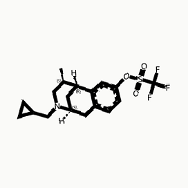 C[C@@H]1CN(CC2CC2)[C@@H]2Cc3ccc(OS(=O)(=O)C(F)(F)F)cc3[C@@H]1C2